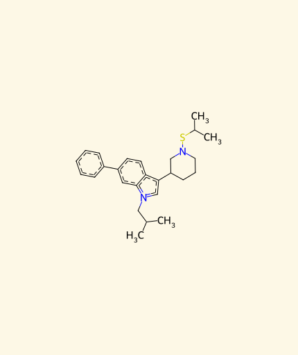 CC(C)Cn1cc(C2CCCN(SC(C)C)C2)c2ccc(-c3ccccc3)cc21